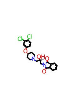 C[C@@](O)(CN1CCC(Oc2ccc(Cl)c(Cl)c2)CC1)CN1C(=O)c2ccccc2C1=O